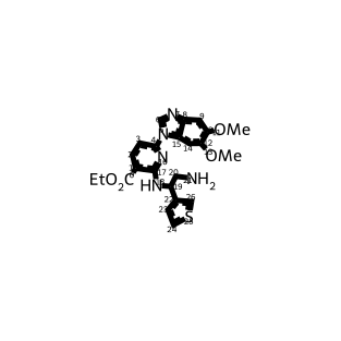 CCOC(=O)c1ccc(-n2cnc3cc(OC)c(OC)cc32)nc1NC(CN)c1ccsc1